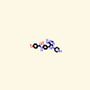 COc1ccc(C(=O)Nc2ccc(-c3nn(C4CCNCC4)c4ncnc(N)c34)cc2OC)cc1